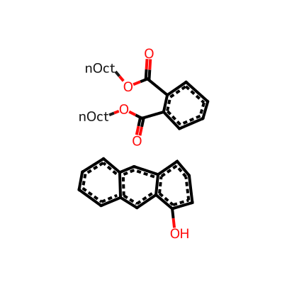 CCCCCCCCOC(=O)c1ccccc1C(=O)OCCCCCCCC.Oc1cccc2cc3ccccc3cc12